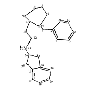 c1ccc(CN2CCCCC2CCNC2Cc3ccccc3C2)cc1